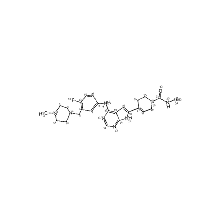 CN1CCN(Cc2cc(Nc3ncnc4[nH]c(C5=CCN(C(=O)NC(C)(C)C)CC5)cc34)ccc2F)CC1